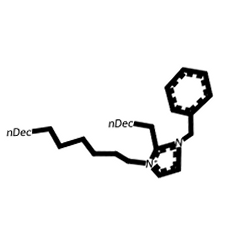 CCCCCCCCCCCCCCCC[n+]1ccn(Cc2ccccc2)c1CCCCCCCCCCC